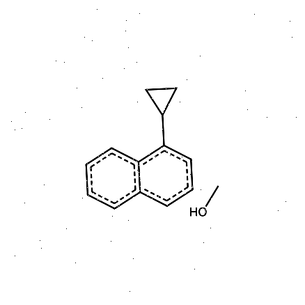 CO.c1ccc2c(C3CC3)cccc2c1